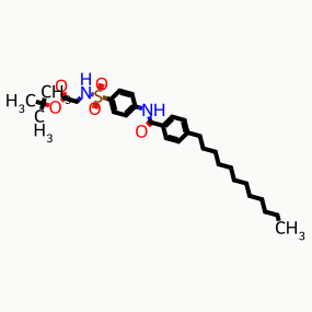 CCCCCCCCCCCCc1ccc(C(=O)Nc2ccc(S(=O)(=O)NCC(=O)OC(C)(C)C)cc2)cc1